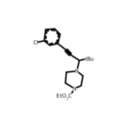 CCOC(=O)N1CCN(C(C#Cc2cccc(Cl)c2)C(C)(C)C)CC1